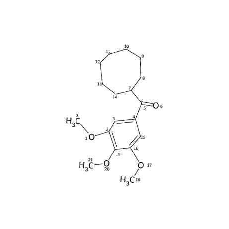 COc1cc(C(=O)C2CCCCCCC2)cc(OC)c1OC